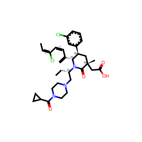 C=C(/C=C\C(Cl)=C/C)[C@@H]1[C@@H](c2cccc(Cl)c2)C[C@](C)(CC(=O)O)C(=O)N1[C@@H](CC)CN1CCN(C(=O)C2CC2)CC1